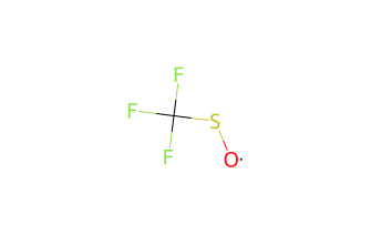 [O]SC(F)(F)F